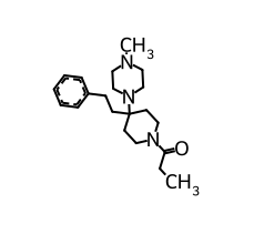 CCC(=O)N1CCC(CCc2ccccc2)(N2CCN(C)CC2)CC1